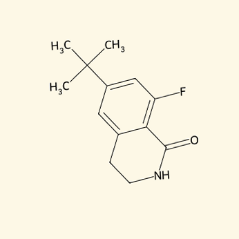 CC(C)(C)c1cc(F)c2c(c1)CCNC2=O